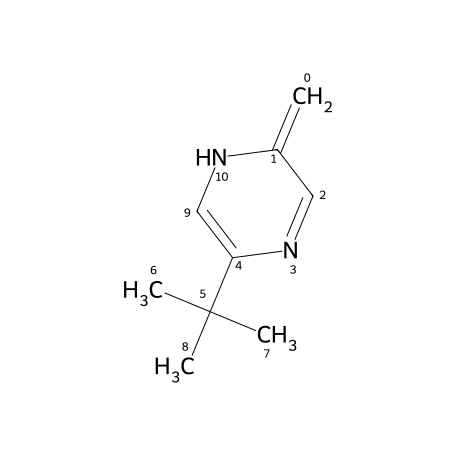 C=C1C=NC(C(C)(C)C)=CN1